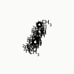 [2H]C([2H])([2H])N(C)C(=O)N[C@]1([2H])C([2H])([2H])C([2H])([2H])[C@@]([2H])(C([2H])([2H])CN2C([2H])([2H])C([2H])([2H])N(c3cccc(C)c3Cl)C([2H])([2H])C2([2H])[2H])C([2H])([2H])C1([2H])[2H]